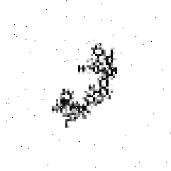 CN(C(=O)O)C(C(=O)N1C[C@H](F)C[C@H]1c1ncc(-c2ccc3c(ccc4oc5cc(-c6cnc([C@@H]7C[C@@H](F)CN7C(=O)C(C7CCOCC7)N(C)C(=O)O)[nH]6)ccc5c(=O)c43)c2)[nH]1)C1CCOCC1